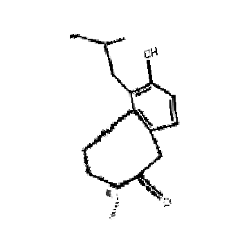 CC(C)Cc1c(O)ccc2c1CCC[C@@H](C)C(=O)C2